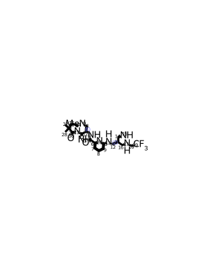 CN/C=C(/NC(=O)c1cccc(N/C=C(\C=N)CNCC(F)(F)F)n1)C(=N)N1CCC(C)(C)C1=O